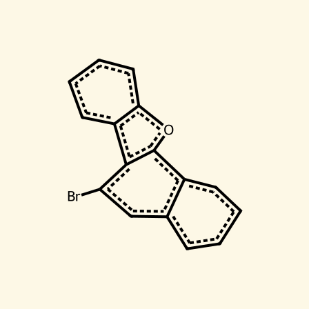 Brc1cc2ccccc2c2oc3ccccc3c12